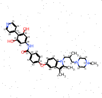 Cc1c(C)n(CC(C)CN2CCN(C)CC2)c2ccc(Oc3ccc(C(=O)Nc4cc(O)c(-c5ccncc5)c(O)c4)cc3)cc12